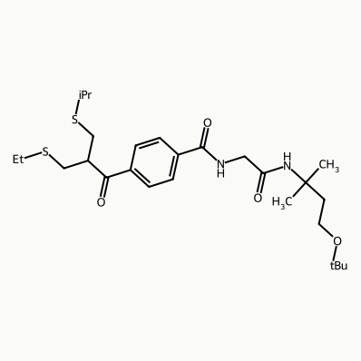 CCSCC(CSC(C)C)C(=O)c1ccc(C(=O)NCC(=O)NC(C)(C)CCOC(C)(C)C)cc1